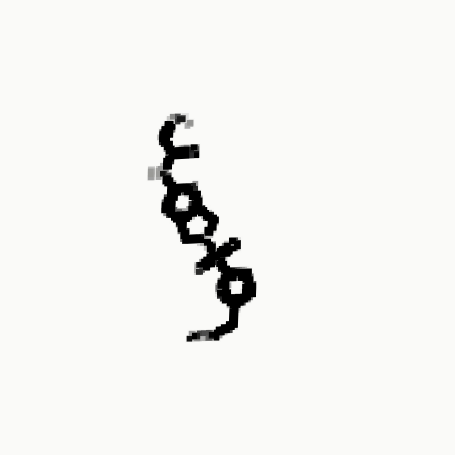 C=CC(=O)Nc1cc2c(s1)CN(S(=O)(=O)c1ccc(CNC(C)=O)s1)C2